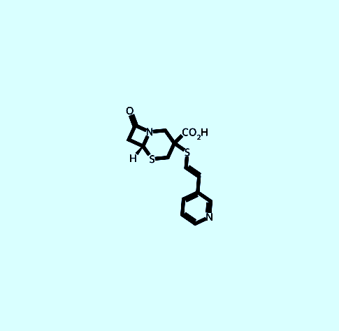 O=C1C[C@H]2SCC(SC=Cc3cccnc3)(C(=O)O)CN12